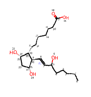 CCCCCC(O)/C=C/[C@@H]1[C@@H](CCCCCCC(=O)O)[C@@H](O)C[C@H]1O